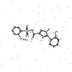 COc1ccccc1S(=O)(=O)NC(=O)c1cn(C)c(-c2ccccc2C(C)C)n1